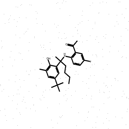 CCCCC(C)(Pc1ccc(F)cc1C(C)=O)c1cc(C(C)(C)C)cc(C)c1O